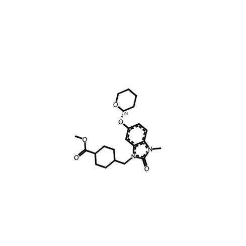 COC(=O)C1CCC(Cn2c(=O)n(C)c3ccc(O[C@H]4CCCCO4)cc32)CC1